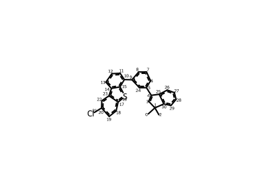 CC1(C)C=C(c2cccc(-c3cccc4c3sc3ccc(Cl)cc34)c2)c2ccccc21